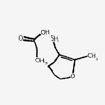 CC(=O)O.CC1=C(S)CCO1